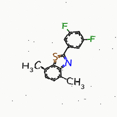 Cc1ccc(C)c2sc(-c3cc(F)cc(F)c3)nc12